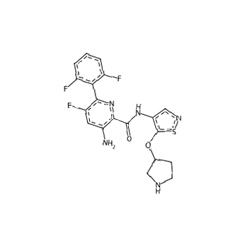 Nc1cc(F)c(-c2c(F)cccc2F)nc1C(=O)Nc1cnsc1OC1CCNC1